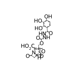 C[C@]1(COC(=O)NNC(=O)c2ccc(O)c(O)c2O)[C@H](C(=O)O)N2C(=O)C[C@H]2S1(=O)=O